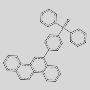 O=P(c1ccccc1)(c1ccccc1)c1ccc(-c2cc3c4ccccc4ccc3c3ccccc23)cc1